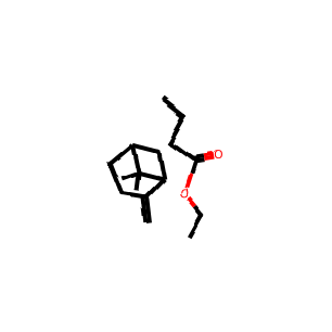 C=C1CCC2CC1C2(C)C.CCCC(=O)OCC